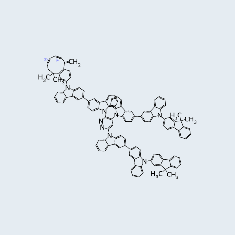 C=C1/C=C\C=C/CC(C)(C)c2cc(-n3c4ccccc4c4cc(-c5ccc6c(c5)c5ccccc5n6-c5nnc(-n6c7ccccc7c7cc(-c8ccc9c(c8)c8ccccc8n9-c8ccc9c(c8)C(C)(C)c8ccccc8-9)ccc76)cc5-n5c6ccccc6c6cc(-c7ccc8c(c7)c7ccccc7n8-c7ccc8c(c7)C(C)(C)c7ccccc7-8)ccc65)ccc43)ccc21